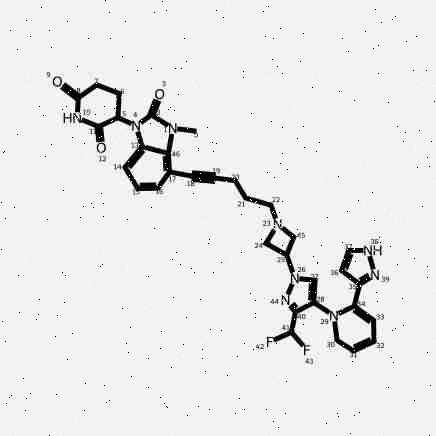 Cn1c(=O)n(C2CCC(=O)NC2=O)c2cccc(C#CCCCN3CC(n4cc(N5CC=CC=C5c5cc[nH]n5)c(C(F)F)n4)C3)c21